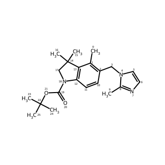 Cc1c(Cn2ccnc2C)ccc2c1C(C)(C)CN2C(=O)OC(C)(C)C